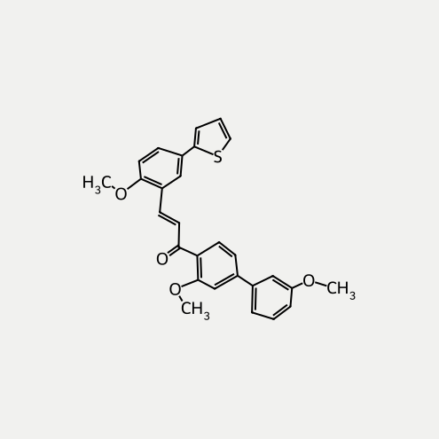 COc1cccc(-c2ccc(C(=O)C=Cc3cc(-c4cccs4)ccc3OC)c(OC)c2)c1